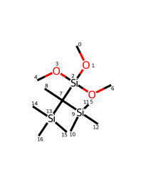 CO[Si](OC)(OC)C(C)([Si](C)(C)C)[Si](C)(C)C